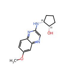 COc1ccc2nc(N[C@@H]3CCC[C@@H]3O)cnc2c1